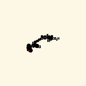 CCn1cc(C(=O)O)c(=O)c2cc(F)c(N3CCN(C(=O)OCCSSCCOC(=O)OC4(c5ccc(Cl)cc5)CCN(CCC(C(=O)N(C)C)(c5ccccc5)c5ccccc5)CC4)CC3)cc21